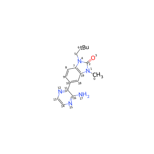 Cn1c(=O)n(CC(C)(C)C)c2ccc(-c3nccnc3N)cc21